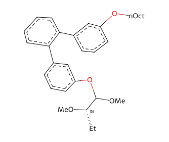 CCCCCCCCOc1cccc(-c2ccccc2-c2cccc(OC(OC)[C@H](CC)OC)c2)c1